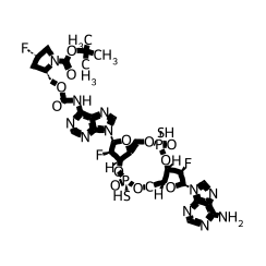 CC(C)(C)OC(=O)N1C[C@@H](F)C[C@H]1COC(=O)Nc1ncnc2c1ncn2[C@@H]1O/C2=C\O[P@](=O)(S)O[C@H]3[C@@H](F)[C@H](n4cnc5c(N)ncnc54)O[C@@H]3CO[P@@](=O)(S)O[C@H]2[C@H]1F